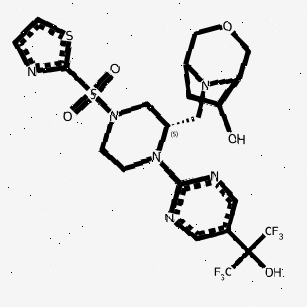 O=S(=O)(c1nccs1)N1CCN(c2ncc(C(O)(C(F)(F)F)C(F)(F)F)cn2)[C@@H](CN2C3COCC2C(O)C3)C1